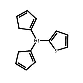 C1=CC[C]([Hf]([C]2=CC=CC2)[c]2cccs2)=C1